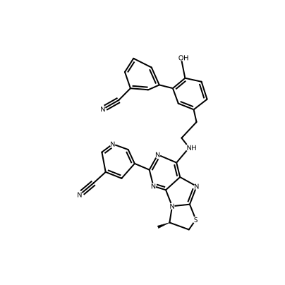 C[C@@H]1CSc2nc3c(NCCc4ccc(O)c(-c5cccc(C#N)c5)c4)nc(-c4cncc(C#N)c4)nc3n21